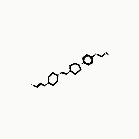 CCOc1ccc([C@H]2CC[C@H](CC[C@H]3CC[C@H](CC=CF)CC3)CC2)cc1